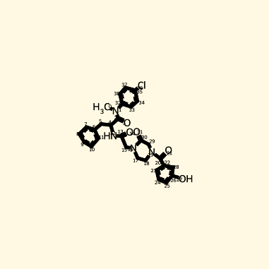 CN(C(=O)C(Cc1ccccc1)NC(=O)CN1CCN(C(=O)c2cccc(O)c2)CC1=O)c1ccc(Cl)cc1